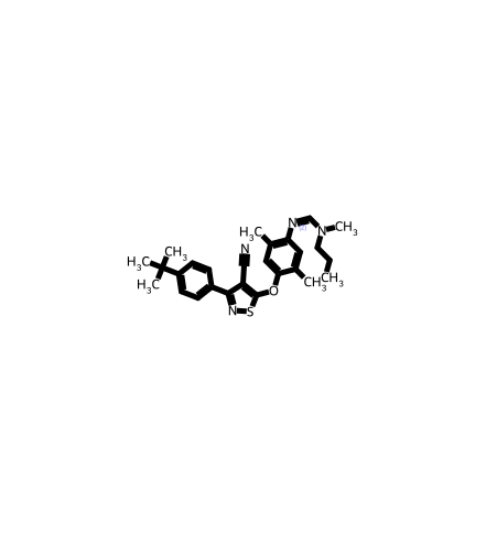 CCCN(C)/C=N\c1cc(C)c(Oc2snc(-c3ccc(C(C)(C)C)cc3)c2C#N)cc1C